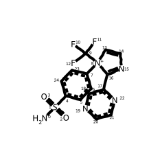 NS(=O)(=O)c1ccc([N+]2(C(F)(F)F)C=CN=C2c2cnccn2)cc1